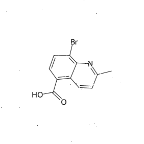 Cc1ccc2c(C(=O)O)ccc(Br)c2n1